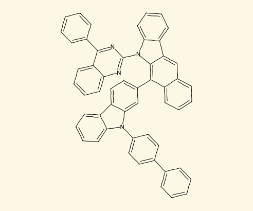 c1ccc(-c2ccc(-n3c4ccccc4c4ccc(-c5c6ccccc6cc6c7ccccc7n(-c7nc(-c8ccccc8)c8ccccc8n7)c56)cc43)cc2)cc1